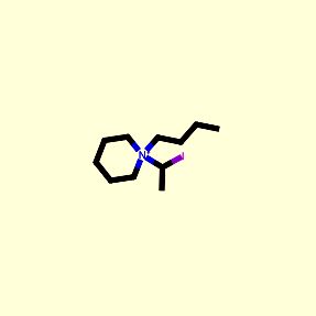 CCCC[N+]1(C(C)I)CCCCC1